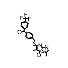 CC1=C(SCc2ccc(C(=O)c3ccc(C(F)(F)F)cc3)cc2)N=C2N=CC(C)=S2C1=O